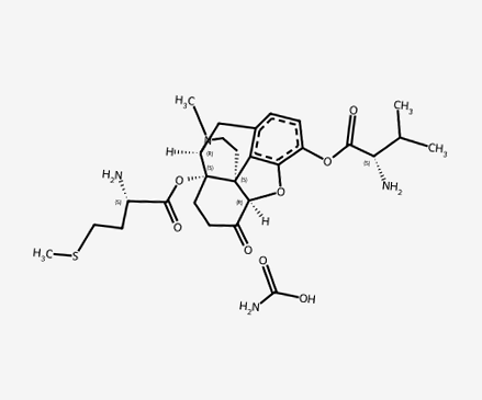 CSCC[C@H](N)C(=O)O[C@@]12CCC(=O)[C@@H]3Oc4c(OC(=O)[C@@H](N)C(C)C)ccc5c4[C@@]31CCN(C)[C@@H]2C5.NC(=O)O